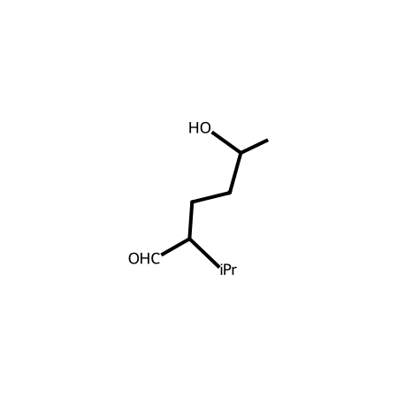 CC(O)CCC(C=O)C(C)C